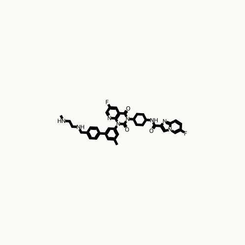 CNCCNCc1ccc(-c2cc(C)cc(-n3c(=O)n(C4CCC(NC(=O)c5cn6cc(F)ccc6n5)CC4)c(=O)c4cc(F)cnc43)c2)cc1